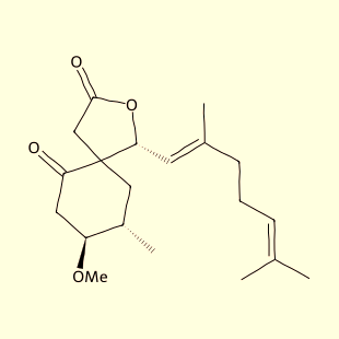 CO[C@H]1CC(=O)C2(CC(=O)O[C@@H]2/C=C(\C)CCC=C(C)C)C[C@@H]1C